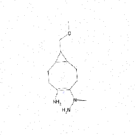 COCC1C2CC/C(N)=C(/N(C)N)CCC21